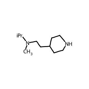 CC(C)N(C)CCC1CCNCC1